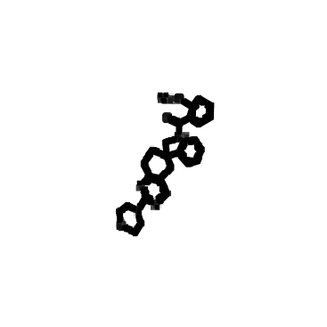 COc1ccccc1C(=O)NCC1(c2ccccc2)CCc2nc(N3CCOCC3)ncc2C1